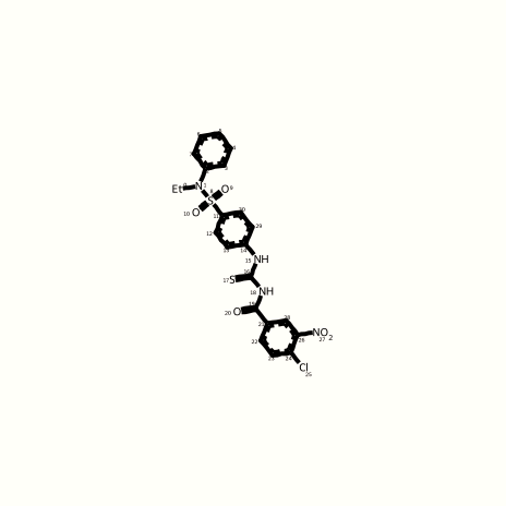 CCN(c1ccccc1)S(=O)(=O)c1ccc(NC(=S)NC(=O)c2ccc(Cl)c([N+](=O)[O-])c2)cc1